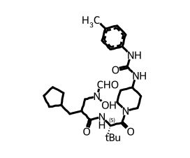 Cc1ccc(NC(=O)NC2CCN(C(=O)[C@@H](NC(=O)C(CC3CCCC3)CN(O)C=O)C(C)(C)C)CC2)cc1